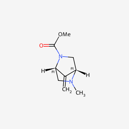 C=C1[C@@H]2CN(C(=O)OC)[C@H]1CN2C